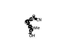 COC1(c2ccc(-c3cc4c(N5CCN(C(=O)[C@H]6C[C@H](C#N)C6)CC5)ccnn4c3)cc2)CCN([C@H](C)CO)CC1